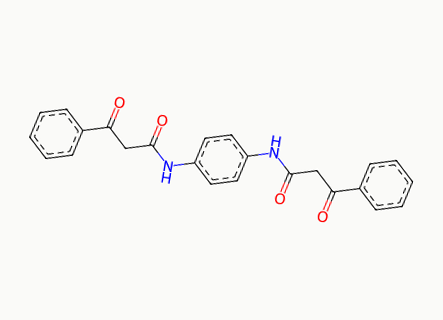 O=C(CC(=O)c1ccccc1)Nc1ccc(NC(=O)CC(=O)c2ccccc2)cc1